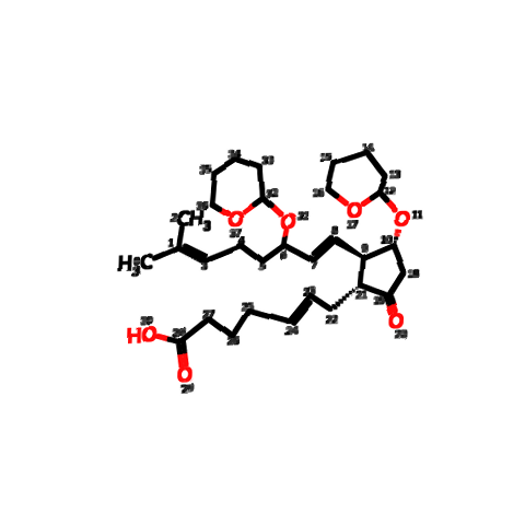 CC(C)=CCCC(C=C[C@H]1[C@H](OC2CCCCO2)CC(=O)[C@@H]1CC=CCCCC(=O)O)OC1CCCCO1